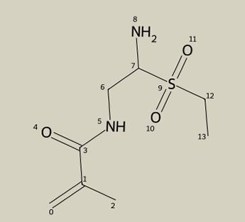 C=C(C)C(=O)NCC(N)S(=O)(=O)CC